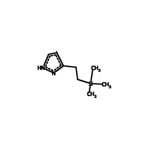 C[Si](C)(C)CCc1[c]c[nH]n1